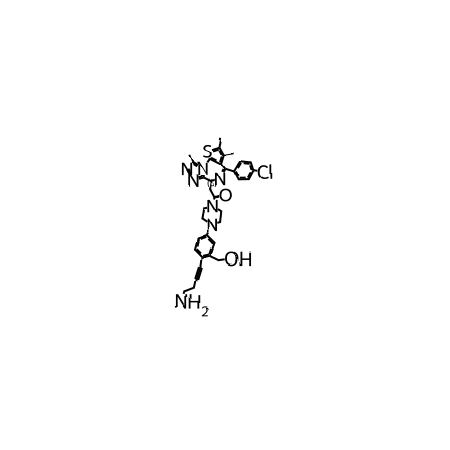 Cc1sc2c(c1C)C(c1ccc(Cl)cc1)=N[C@@H](CC(=O)N1CCN(c3ccc(C#CCCN)c(CO)c3)CC1)c1nnc(C)n1-2